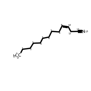 CCCCCCCCC/C=C\CC#N